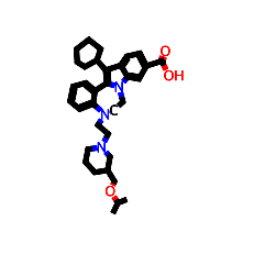 CC(C)OCC1CCCN(CCN2CCn3c(c(C4CCCCC4)c4ccc(C(=O)O)cc43)-c3ccccc32)C1